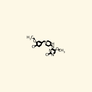 CCOc1cc(CN2CCC(Nc3nc(Cl)ncc3OC)CC2)ccc1Cl